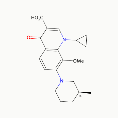 COc1c(N2CCC[C@H](C)C2)ccc2c(=O)c(C(=O)O)cn(C3CC3)c12